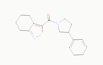 O=C(c1onc2c1CCCC2)N1CCC(C2=CCCC=C2)C1